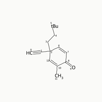 C#CC1(CCC(C)(C)C)C=CC(=O)C(C)=C1